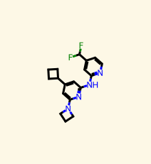 FC(F)c1ccnc(Nc2cc(C3CCC3)cc(N3CCC3)n2)c1